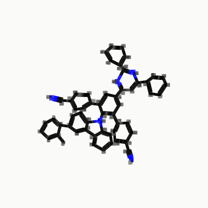 Cc1ccccc1-c1ccc2c(c1)c1ccccc1n2-c1c(-c2ccc(C#N)cc2)cc(-c2cc(-c3ccccc3)nc(-c3ccccc3)n2)cc1-c1ccc(C#N)cc1